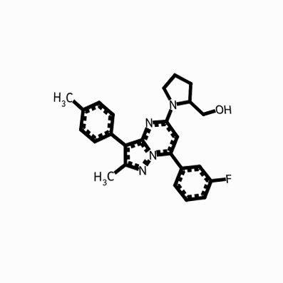 Cc1ccc(-c2c(C)nn3c(-c4cccc(F)c4)cc(N4CCCC4CO)nc23)cc1